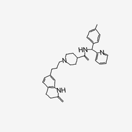 C=C1CCc2ccc(CCCN3CCC(C(=C)NC(c4ccc(C)cc4)c4ccccn4)CC3)cc2N1